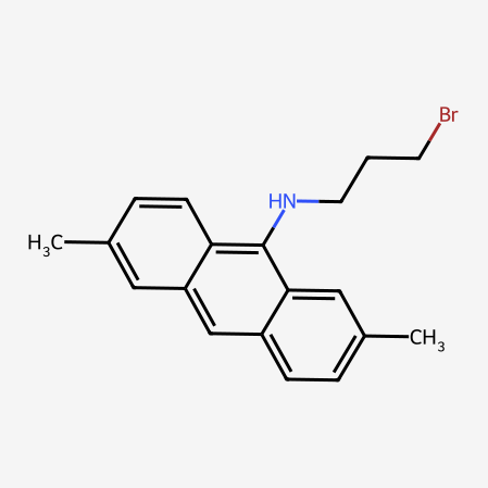 Cc1ccc2c(NCCCBr)c3cc(C)ccc3cc2c1